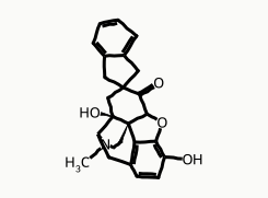 CN1CC[C@]23c4c5ccc(O)c4OC2C(=O)C2(Cc4ccccc4C2)C[C@@]3(O)C1C5